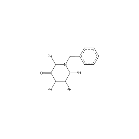 [2H]C1C(=O)C([2H])N(Cc2ccccc2)C([2H])C1[2H]